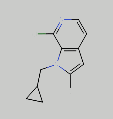 Cc1cc2ccnc(Cl)c2n1CC1CC1